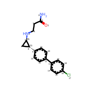 NC(=O)CCN[C@@H]1C[C@H]1c1ccc(-c2ccc(Cl)cc2)cc1